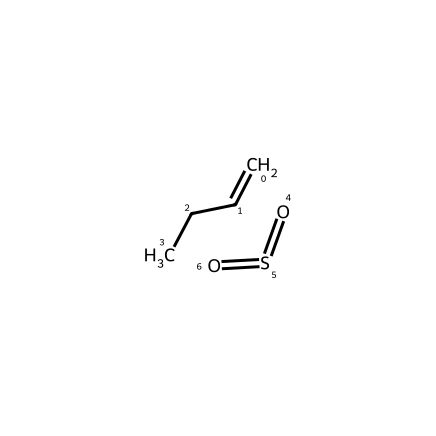 C=CCC.O=S=O